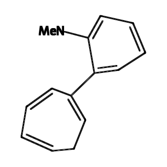 CNc1ccccc1C1=CCC=CC=C1